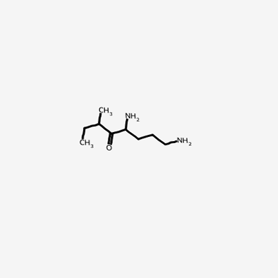 CCC(C)C(=O)C(N)CCCN